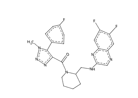 Cn1nnc(C(=O)N2CCCCC2CNc2cnc3cc(F)c(F)cc3n2)c1-c1ccc(F)cc1